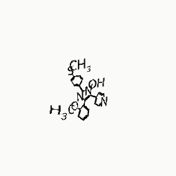 COc1ccccc1-c1nc(-c2ccc(SC)cc2)n(O)c1-c1ccncc1